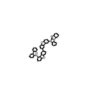 c1ccc(-c2ccccc2Nc2cccc3oc4ccc(-c5ccc6oc7ccc(-n8c9ccccc9n9c%10ccccc%10nc89)cc7c6c5)cc4c23)cc1